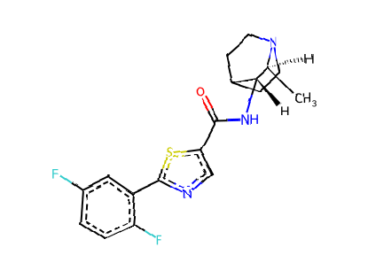 C[C@H]1[C@H](NC(=O)c2cnc(-c3cc(F)ccc3F)s2)C2CCN1CC2